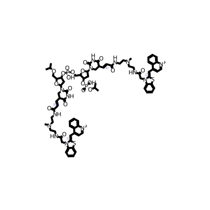 CC(C)OCC1OC(N2CC(/C=C/C(=O)NCCN(C)CCNC(=O)CN3/C(=C/c4cc[n+](C)c5ccccc45)Sc4ccccc43)C(=O)NC2=O)CC1OP(=O)(O)OCC1OC(N2CC(/C=C/C(=O)NCCN(C)CCNC(=O)CN3/C(=C/c4cc[n+](C)c5ccccc45)Sc4ccccc43)C(=O)NC2=O)CC1OP(=O)(O)OC(C)C